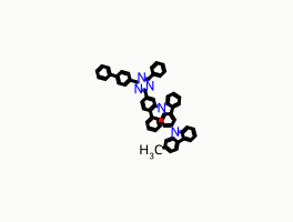 Cc1ccc2c3ccccc3n(-c3ccc4c(c3)c3ccccc3n4-c3cc(-c4nc(-c5ccccc5)nc(-c5ccc(-c6ccccc6)cc5)n4)ccc3-c3ccccc3)c2c1